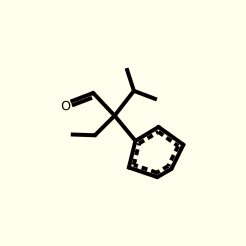 CCC(C=O)(c1ccccc1)C(C)C